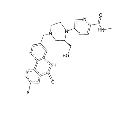 CNC(=O)c1ccc(N2CCN(Cc3cnc4c(c3)[nH]c(=O)c3cc(F)ccc34)C[C@@H]2CO)cn1